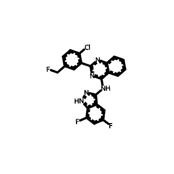 FCc1ccc(Cl)c(-c2nc(Nc3n[nH]c4c(F)cc(F)cc34)c3ccccc3n2)c1